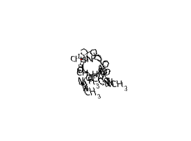 CO[C@H]1/C=C/[C@H](OCc2cn(C)cn2)[C@H](C)C[S@@](=O)(NC(=O)c2cn(C)nc2C)=NC(=O)c2ccc3c(c2)N(C[C@@H]2CC[C@H]21)C[C@@]1(CCCc2cc(Cl)ccc21)CO3